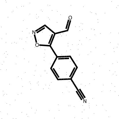 N#Cc1ccc(-c2oncc2C=O)cc1